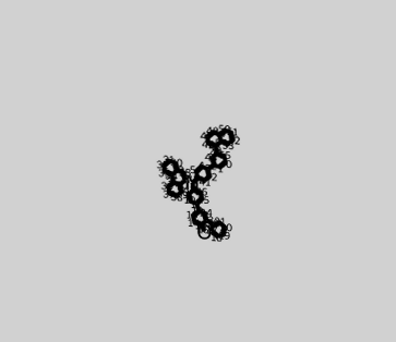 c1cc(-c2ccc(N(c3ccc(-c4ccc5oc6ccccc6c5c4)cc3)c3cc4ccccc4c4ccccc34)cc2)cc(-c2cccc3ccccc23)c1